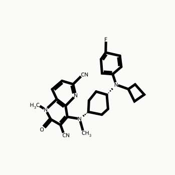 Cn1c(=O)c(C#N)c(N(C)[C@H]2CC[C@@H](N(c3ccc(F)cc3)C3CCC3)CC2)c2nc(C#N)ccc21